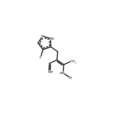 CCN/C(C)=C(\C=N)Cc1[nH]ncc1F